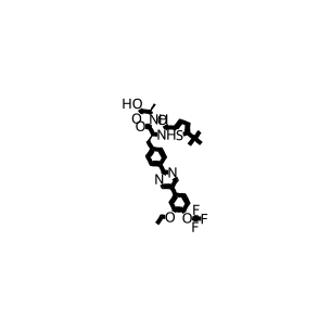 CCOc1cc(-c2cnc(-c3ccc(C[C@H](NC(=O)c4ccc(C(C)(C)C)s4)C(=O)N[C@H](C)C(=O)O)cc3)nc2)ccc1OC(F)(F)F